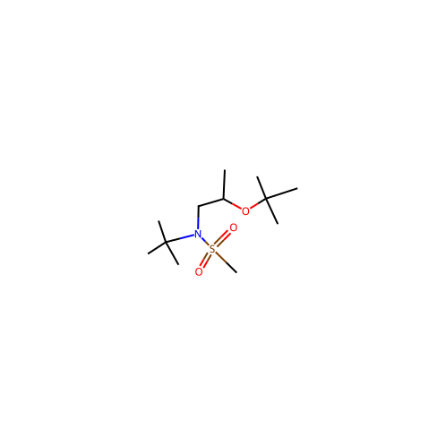 CC(CN(C(C)(C)C)S(C)(=O)=O)OC(C)(C)C